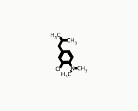 CC(C)Cc1ccc(N(C)C)c(Cl)c1